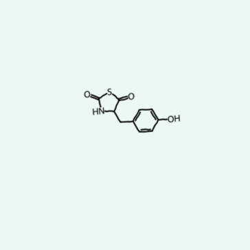 O=C1NC(Cc2ccc(O)cc2)C(=O)S1